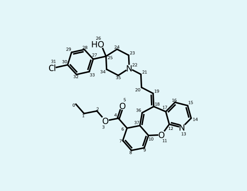 CCCOC(=O)C1C=CC=C2Oc3ncccc3C(=CCCN3CCC(O)(c4ccc(Cl)cc4)CC3)C=C21